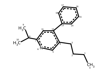 CCCCc1cnc(C(C)C)cc1-c1ccccc1